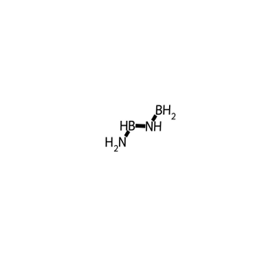 BNBN